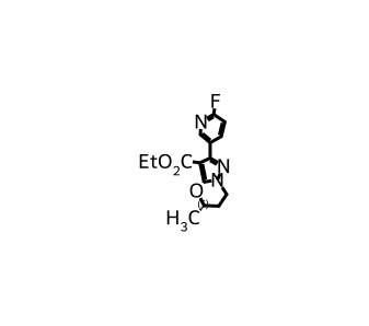 CCOC(=O)c1c(-c2ccc(F)nc2)nn2c1O[C@@H](C)CC2